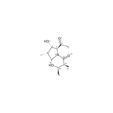 CC(=O)[C@@H]1[C@@H](O)[C@@H](C)CN1C(=O)[C@@H](C)[C@@H](C)O